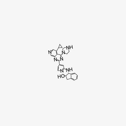 O[C@@H]1Cc2ccccc2[C@H]1Nc1cc(-c2nc(N3CCNCC3)c3c(C4CC4)cncc3n2)ccn1